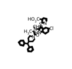 C[C@H](C(=O)N1CCC(C(c2ccccc2)c2ccccc2)CC1)N(C=O)c1[nH]c2ccc(Cl)cc2c1Sc1ncccc1C(=O)O